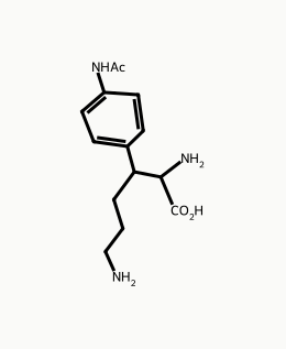 CC(=O)Nc1ccc(C(CCCN)C(N)C(=O)O)cc1